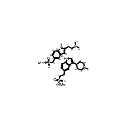 CNS(=O)(=O)CCc1ccc2[nH]cc(C3CCN(C)CC3)c2c1.CNS(=O)(=O)Cc1ccc2[nH]c(CCN(C)C)cc2c1